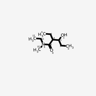 CCC(O)C(CC)C(=O)N(C)CC